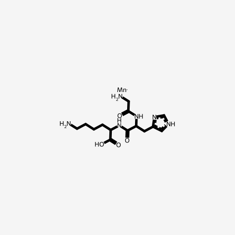 NCCCCC(NC(=O)C(Cc1c[nH]cn1)NC(=O)CN)C(=O)O.[Mn]